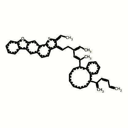 C=C/C=C\C(=C)c1ccccccc(/C(C)=C/C(=C\C)C/C=c2\c(=C/C)sc3c2ccc2cc4c(cc23)oc2ccccc24)c2ccccc12